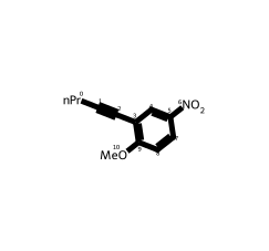 CCCC#Cc1cc([N+](=O)[O-])ccc1OC